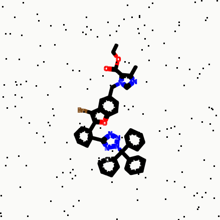 CCOC(=O)c1c(C)ncn1Cc1ccc2oc(-c3ccccc3-c3nnn(C(c4ccccc4)(c4ccccc4)c4ccccc4)n3)c(Br)c2c1